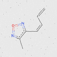 C=C/C=C\c1nonc1C